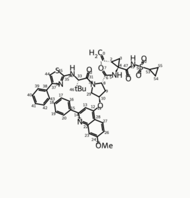 C=C[C@@H]1C[C@]1(NC(=O)[C@@H]1C[C@@H](Oc2cc(-c3ccccc3)nc3cc(OC)ccc23)CN1C(=O)[C@@H](Nc1nc(-c2ccccc2)cs1)C(C)(C)C)C(=O)NS(=O)(=O)C1CC1